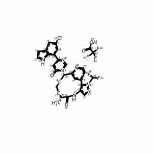 C[C@@H]1CCC[C@H](n2cnc(-c3cc(Cl)cc4cc[nH]c34)cc2=O)c2cc(ccn2)-c2c(cnn2C(F)F)NC1=O.O=C(O)C(F)(F)F